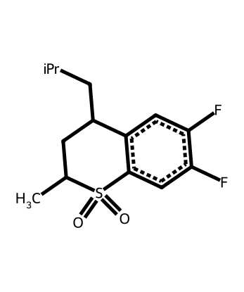 CC(C)CC1CC(C)S(=O)(=O)c2cc(F)c(F)cc21